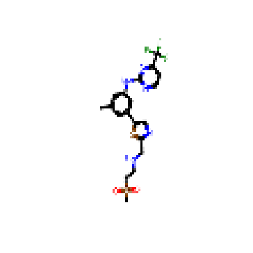 Cc1cc(Nc2nccc(C(F)(F)F)n2)cc(-c2cnc(CNCCS(C)(=O)=O)s2)c1